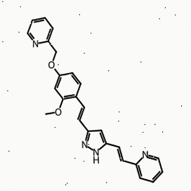 COc1cc(OCc2ccccn2)ccc1C=Cc1cc(C=Cc2ccccn2)[nH]n1